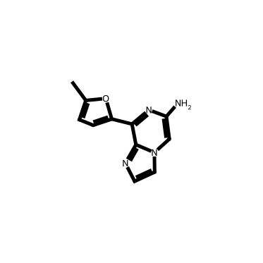 Cc1ccc(-c2nc(N)cn3ccnc23)o1